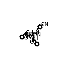 CN(Cc1ccccc1)C(=O)C(CNC(=O)Cc1ccccc1)NC(=O)Cc1cncn1Cc1ccc(C#N)cc1